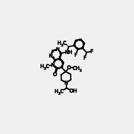 COC1(c2cc3c(N[C@H](C)c4cccc(C(F)F)c4F)ncnc3n(C)c2=O)CCN(C(C)O)CC1